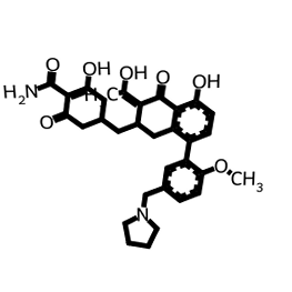 COc1ccc(CN2CCCC2)cc1-c1ccc(O)c2c1CC(CC1CC(=O)C(C(N)=O)=C(O)C1)/C(=C(\C)O)C2=O